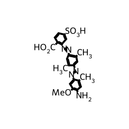 COc1cc(N=Nc2cc(C)c(N=Nc3cc(S(=O)(=O)O)ccc3C(=O)O)cc2C)c(C)cc1N